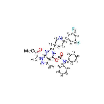 CCC(C(=O)OC)n1nc(C(C)C)c2c(OC(=O)N(c3ccccc3)c3ccccc3)nc(Cc3ccc(-c4cc(F)cc(F)c4)nc3)nc21